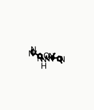 Cc1cc(-c2cn(CC(=O)Nc3ccc(-c4cncnc4)cn3)nc2C)ccn1